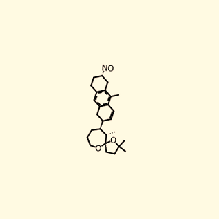 Cc1c2c(cc3c1C[C@@H](N=O)CC3)CC([C@@H]1CCCO[C@]3(CCC(C)(C)O3)[C@H]1C)C=C2